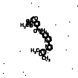 C[C@@H]1CN(c2cccc(-c3ccc4cnc(CNC(=O)c5ccc6c(c5)N(S(C)(=O)=O)CCO6)cc4n3)n2)C[C@H](C)O1